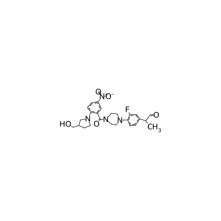 CC(C=O)c1ccc(N2CCN(C(=O)c3cc([N+](=O)[O-])ccc3N3CCC(CO)C3)CC2)c(F)c1